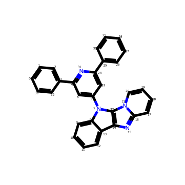 c1ccc(-c2cc(-n3c4ccccc4c4nc5ccccn5c43)cc(-c3ccccc3)n2)cc1